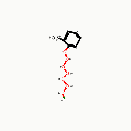 O=S(=O)(O)c1ccccc1OOOOOOOF